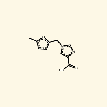 Cc1ccc(Cn2cnc(C(=O)O)c2)o1